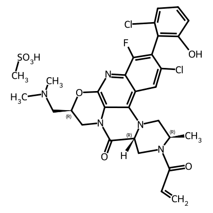 C=CC(=O)N1C[C@@H]2C(=O)N3C[C@@H](CN(C)C)Oc4nc5c(F)c(-c6c(O)cccc6Cl)c(Cl)cc5c(c43)N2C[C@H]1C.CS(=O)(=O)O